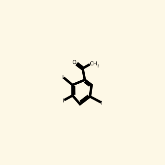 CC(=O)c1cc(I)cc(I)c1I